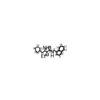 CCOC(C(=O)NCc1cccc2ccccc12)[C@H](N)CC1CCCCC1